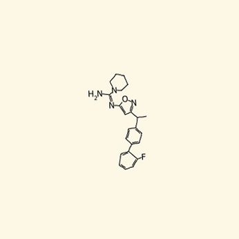 CC(c1ccc(-c2ccccc2F)cc1)c1cc(/N=C(/N)N2CCCCC2)on1